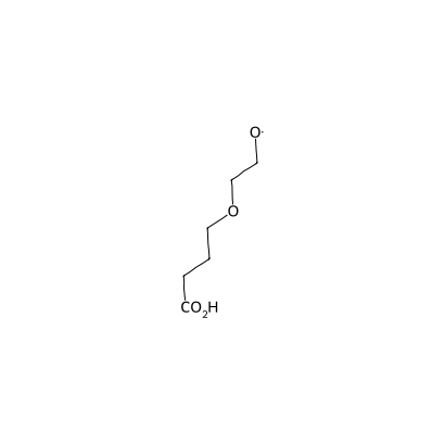 [O]CCOCCCC(=O)O